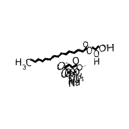 CCCCCCCCCCCCCCCC(=O)OCC(O)CO.O=C([O-])CC(C(=O)[O-])S(=O)(=O)O.[Na+].[Na+]